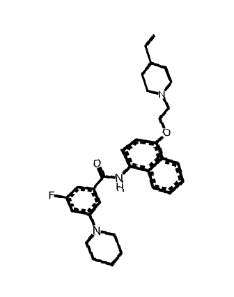 CCC1CCN(CCOc2ccc(NC(=O)c3cc(F)cc(N4CCCCC4)c3)c3ccccc23)CC1